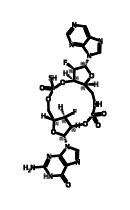 Nc1nc2c(ncn2[C@@H]2O[C@@H]3COP(=O)(S)O[C@H]4[C@@H](F)[C@H](n5cnc6cncnc65)O[C@@H]4CNS(=O)(=O)O[C@@H]2[C@@H]3F)c(=O)[nH]1